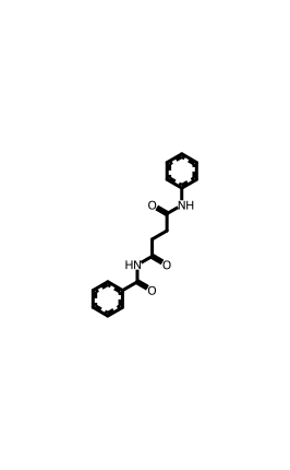 O=C(CCC(=O)Nc1ccccc1)NC(=O)c1ccccc1